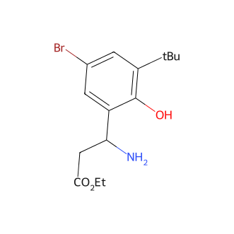 CCOC(=O)CC(N)c1cc(Br)cc(C(C)(C)C)c1O